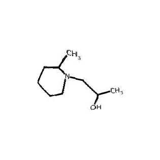 CC(O)CN1CCCCC1C